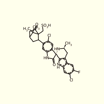 C[C@H]1Cc2c([nH]c3cc(Cl)c(F)cc23)[C@@]2(N1)C(=O)Nc1cc(C3CC4CC(=O)C3(CS(=O)(=O)O)C4(C)C)c(Cl)cc12